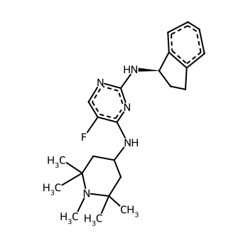 CN1C(C)(C)CC(Nc2nc(N[C@@H]3CCc4ccccc43)ncc2F)CC1(C)C